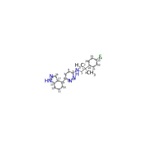 CC(C)(CNc1ccc(-c2cccc3[nH]ncc23)nn1)c1ccc(F)cc1